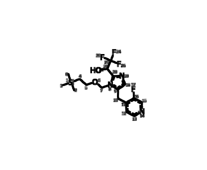 C[Si](C)(C)CCOCn1c(Cc2ccncc2F)cnc1C(O)C(F)(F)F